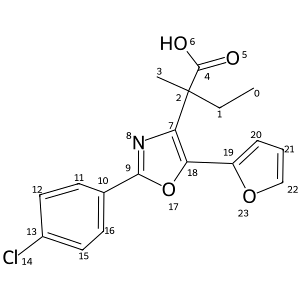 CCC(C)(C(=O)O)c1nc(-c2ccc(Cl)cc2)oc1-c1ccco1